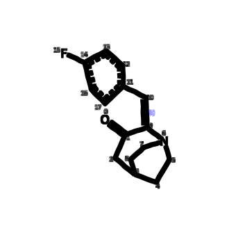 O=C1CC2CCN(CC2)/C1=C/c1ccc(F)cc1